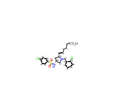 O=C(O)CCCC=C[C@@H]1C[C@@H](NS(=O)(=O)c2ccc(Cl)cc2)CN1Cc1ccccc1Cl